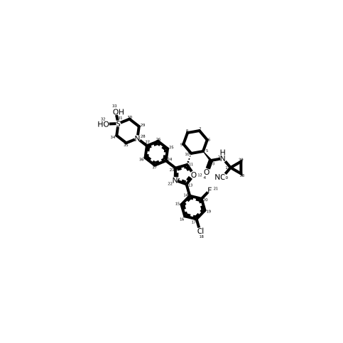 N#CC1(NC(=O)[C@@H]2CCCC[C@H]2c2oc(-c3ccc(Cl)cc3F)nc2-c2ccc(N3CCS(O)(O)CC3)cc2)CC1